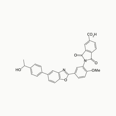 COc1ccc(-c2nc3cc(-c4ccc(C(C)O)cc4)ccc3o2)cc1N1C(=O)c2ccc(C(=O)O)cc2C1=O